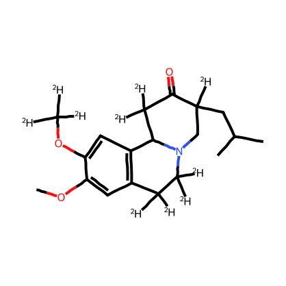 [2H]C([2H])([2H])Oc1cc2c(cc1OC)C([2H])([2H])C([2H])([2H])N1CC([2H])(CC(C)C)C(=O)C([2H])([2H])C21